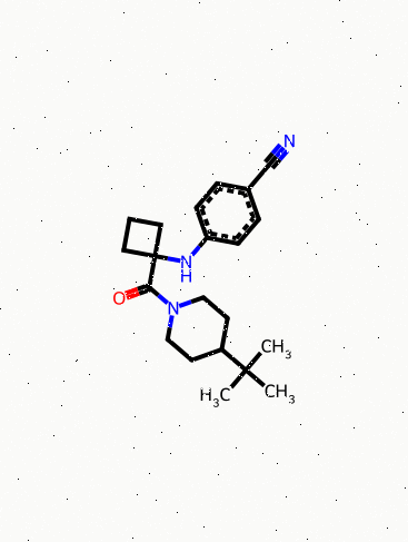 CC(C)(C)C1CCN(C(=O)C2(Nc3ccc(C#N)cc3)CCC2)CC1